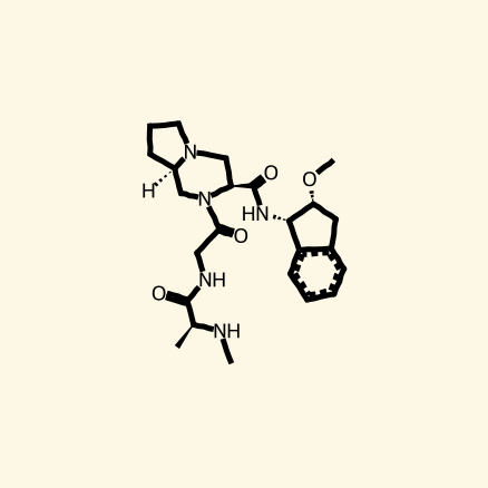 CN[C@@H](C)C(=O)NCC(=O)N1C[C@H]2CCCN2C[C@H]1C(=O)N[C@H]1c2ccccc2C[C@H]1OC